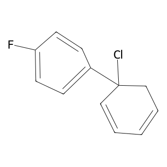 Fc1ccc(C2(Cl)C=CC=CC2)cc1